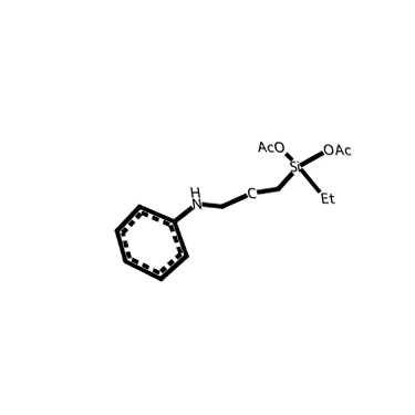 CC[Si](CCCNc1ccccc1)(OC(C)=O)OC(C)=O